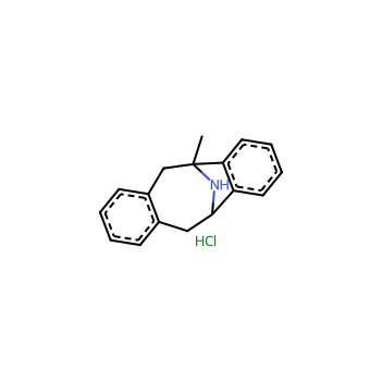 CC12Cc3ccccc3CC(N1)c1ccccc12.Cl